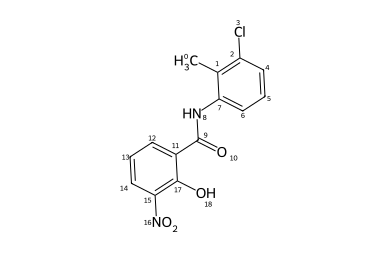 Cc1c(Cl)cccc1NC(=O)c1cccc([N+](=O)[O-])c1O